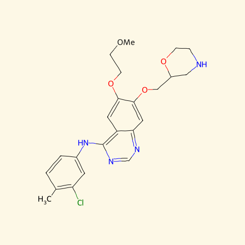 COCCOc1cc2c(Nc3ccc(C)c(Cl)c3)ncnc2cc1OCC1CNCCO1